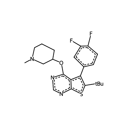 CN1CCCC(Oc2ncnc3sc(C(C)(C)C)c(-c4ccc(F)c(F)c4)c23)C1